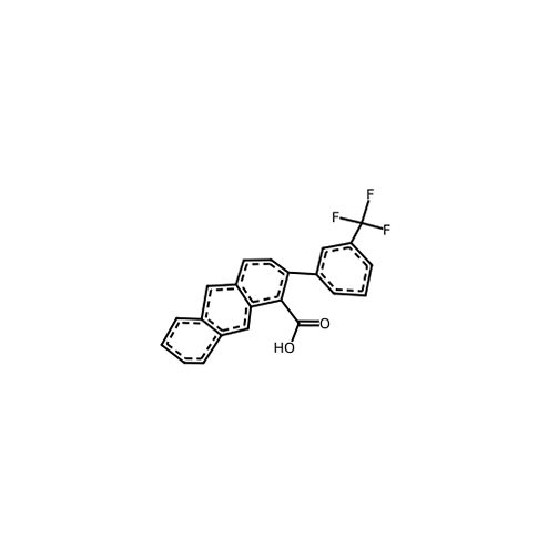 O=C(O)c1c(-c2cccc(C(F)(F)F)c2)ccc2cc3ccccc3cc12